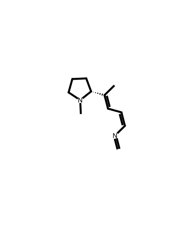 C=N/C=C\C=C(/C)[C@H]1CCCN1C